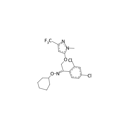 Cn1nc(C(F)(F)F)cc1OC/C(=N\OC1CCCCC1)c1ccc(Cl)cc1Cl